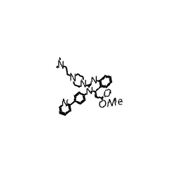 COC(=O)CC1c2ccccc2N=C(N2CCN(CCN(C)C)CC2)N1c1ccc(-c2ccccn2)cc1